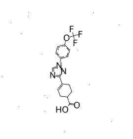 O=C(O)C1CC=C(c2ncn(-c3ccc(OC(F)(F)F)cc3)n2)CC1